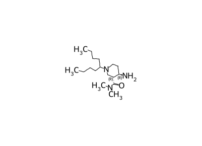 CCCCC(CCCC)N1CC[C@@H](N)[C@H](C(=O)N(C)C)C1